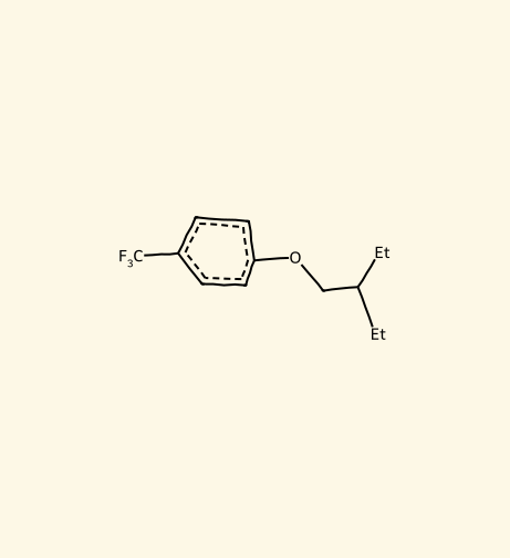 CCC(CC)COc1ccc(C(F)(F)F)cc1